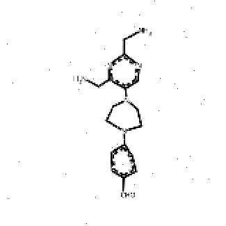 NCc1ncc(N2CCN(c3ccc(C=O)cc3)CC2)c(CN)n1